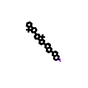 CC1(C)C2=C(CCC(c3ccc4c(c3)C(C)(C)c3cc(C5=CC6C=CC(C7=CC8CCC(I)CC8C=C7)=CC6C=C5)ccc3-4)=C2)c2ccccc21